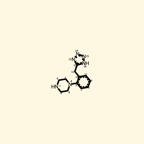 c1ccc(N2CCNCC2)c(Cc2nnn[nH]2)c1